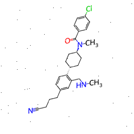 CNCc1cc(CCCC#N)ccc1[C@H]1CC[C@H](N(C)C(=O)c2ccc(Cl)cc2)CC1